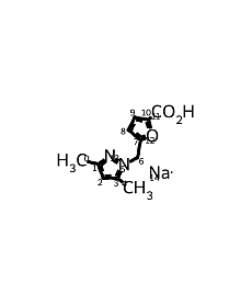 Cc1cc(C)n(Cc2ccc(C(=O)O)o2)n1.[Na]